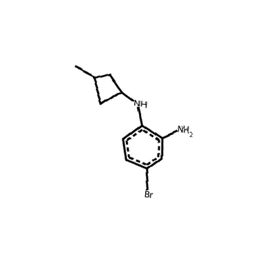 CC1CC(Nc2ccc(Br)cc2N)C1